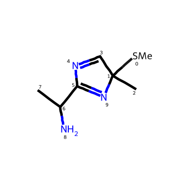 CSC1(C)C=NC(C(C)N)=N1